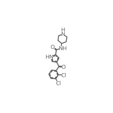 O=C(NC1CCNCC1)c1cc(C(=O)c2cccc(Cl)c2Cl)c[nH]1